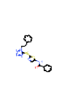 O=C(Nc1cnc(Sc2nnnn2CCc2ccccc2)s1)c1ccccc1